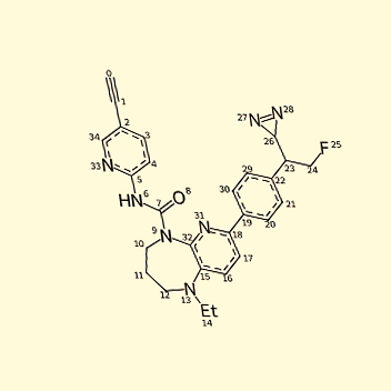 C#Cc1ccc(NC(=O)N2CCCN(CC)c3ccc(-c4ccc(C(CF)C5N=N5)cc4)nc32)nc1